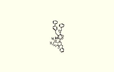 CC(C)CN(CC(Cc1ccccc1)C(N)=O)C(=O)N[C@@H](Cc1ccc(-c2ccccc2)cc1)C(=O)OCc1ccccc1